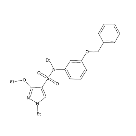 CCOc1nn(CC)cc1S(=O)(=O)N(CC)c1cccc(OCc2ccccc2)c1